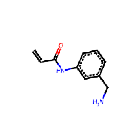 C=CC(=O)Nc1cccc(CN)c1